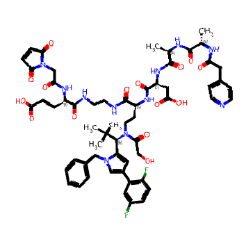 C[C@H](NC(=O)Cc1ccncc1)C(=O)N[C@H](C)C(=O)N[C@@H](CC(=O)O)C(=O)N[C@@H](CCN(C(=O)CO)[C@@H](c1cc(-c2cc(F)ccc2F)cn1Cc1ccccc1)C(C)(C)C)C(=O)NCCNC(=O)[C@@H](CCC(=O)O)NC(=O)CN1C(=O)C=CC1=O